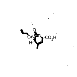 C=CCON1C(=O)N2C[C@H]1C(C)=C[C@H]2C(=O)O